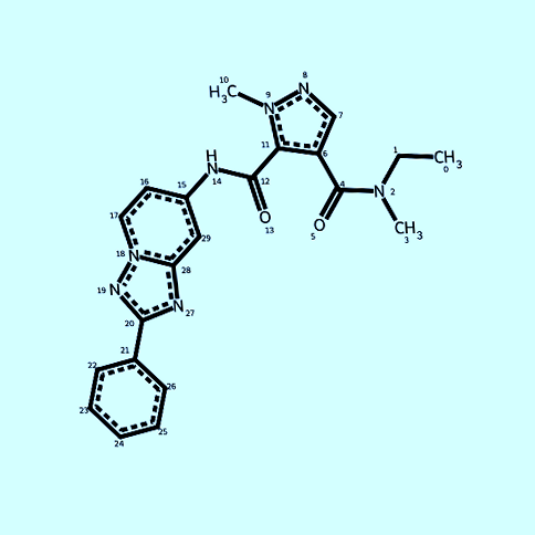 CCN(C)C(=O)c1cnn(C)c1C(=O)Nc1ccn2nc(-c3ccccc3)nc2c1